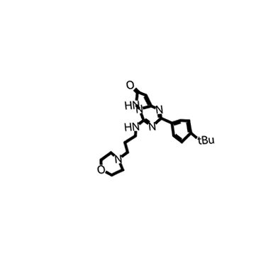 CC(C)(C)c1ccc(-c2nc(NCCCN3CCOCC3)n3[nH]c(=O)cc3n2)cc1